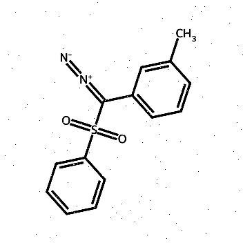 Cc1cccc(C(=[N+]=[N-])S(=O)(=O)c2ccccc2)c1